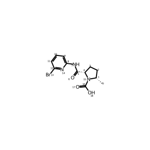 C[C@H]1CC[C@@H](C(=O)Nc2cccc(Br)n2)N1C(=O)O